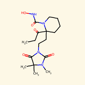 CCC(=O)C1(CCN2C(=O)N(C)C(C)(C)C2=O)CCCCN1C(=O)NO